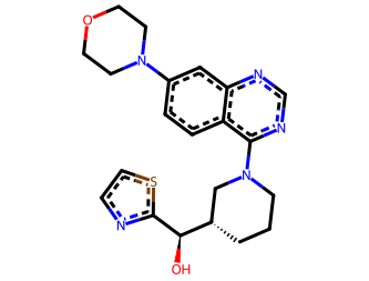 O[C@@H](c1nccs1)[C@H]1CCCN(c2ncnc3cc(N4CCOCC4)ccc23)C1